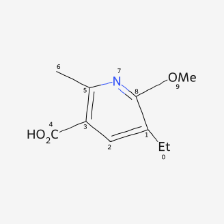 CCc1cc(C(=O)O)c(C)nc1OC